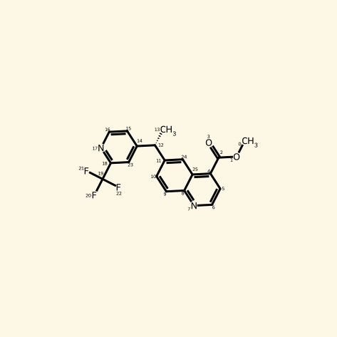 COC(=O)c1ccnc2ccc([C@@H](C)c3ccnc(C(F)(F)F)c3)cc12